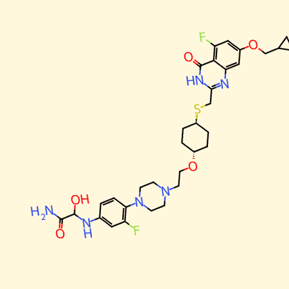 NC(=O)C(O)Nc1ccc(N2CCN(CCO[C@H]3CC[C@H](SCc4nc5cc(OCC6CC6)cc(F)c5c(=O)[nH]4)CC3)CC2)c(F)c1